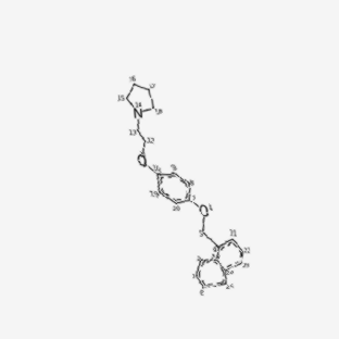 c1ccc2c(COc3ccc(OCCN4CCCC4)cc3)cccc2c1